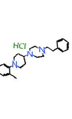 Cc1ccccc1N1CCC(N2CCN(CCc3ccccc3)CC2)CC1.Cl